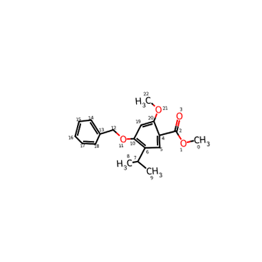 COC(=O)c1cc(C(C)C)c(OCc2ccccc2)cc1OC